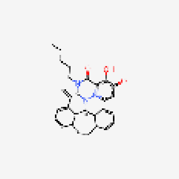 C=CC1=CC=CC2CCC3C=CC=CC3[C@@H](N3CN(CCCCC)C(=O)c4c(O)c(=O)ccn43)C12